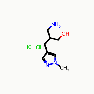 Cl.Cl.Cn1cc(CC(CN)CO)cn1